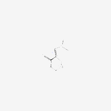 CN(C)/C=C1\CNCCC1=O